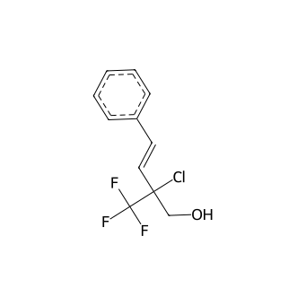 OCC(Cl)(C=Cc1ccccc1)C(F)(F)F